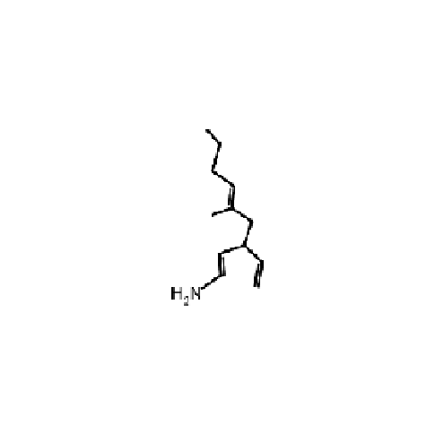 C=CC(C=CN)C/C(C)=C/CCC